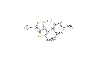 Cc1cc(C)c(-c2c(C)sc3c(C)csc23)c(C)c1